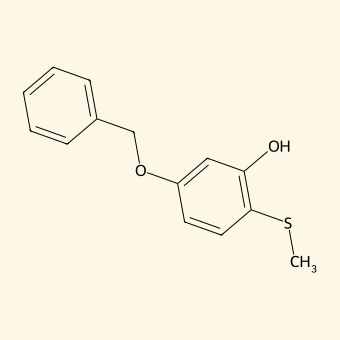 CSc1ccc(OCc2ccccc2)cc1O